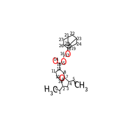 CCC1CC(CC)C2C3OC(CC3C(=O)OCOC3C4CC5CC(C4)CC3C5)C12